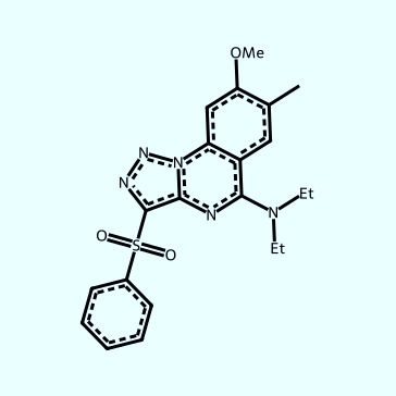 CCN(CC)c1nc2c(S(=O)(=O)c3ccccc3)nnn2c2cc(OC)c(C)cc12